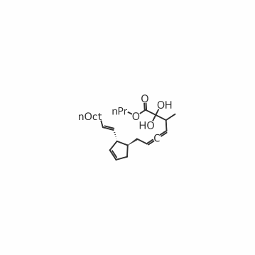 CCCCCCCCC=C[C@H]1C=CC[C@@H]1CC=C=CC(C)C(O)(O)C(=O)OCCC